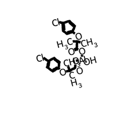 CC(C)(Oc1ccc(Cl)cc1)C(=O)[O][Al]([OH])[O]C(=O)C(C)(C)Oc1ccc(Cl)cc1